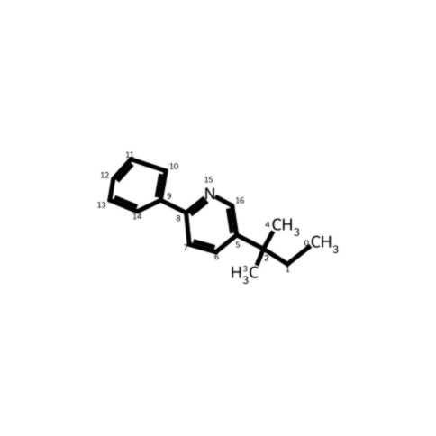 CCC(C)(C)c1ccc(-c2ccccc2)nc1